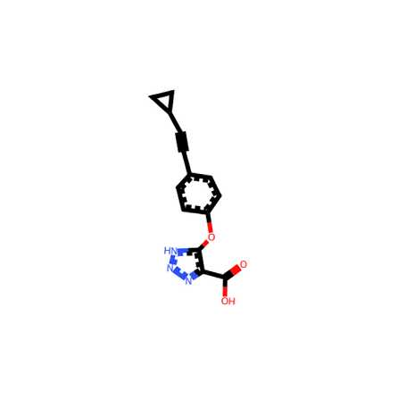 O=C(O)c1nn[nH]c1Oc1ccc(C#CC2CC2)cc1